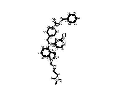 C[Si](C)(C)CCOCn1ncc2c(N(CC3CCN(C(=O)OCc4ccccc4)CC3)c3ccnc(Cl)n3)cccc21